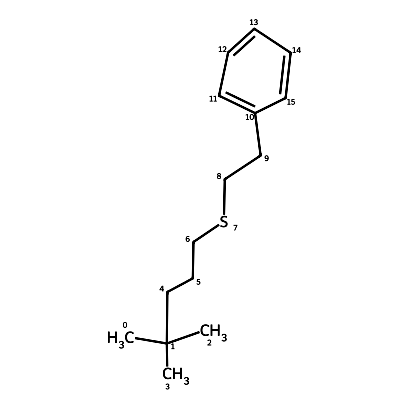 CC(C)(C)CCCSCCc1ccccc1